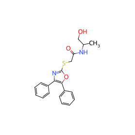 CC(CO)NC(=O)CSc1nc(-c2ccccc2)c(-c2ccccc2)o1